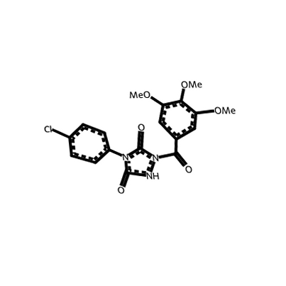 COc1cc(C(=O)n2[nH]c(=O)n(-c3ccc(Cl)cc3)c2=O)cc(OC)c1OC